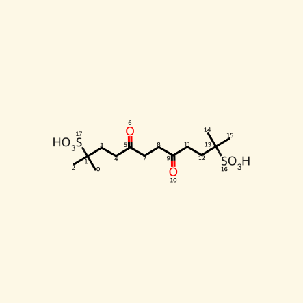 CC(C)(CCC(=O)CCC(=O)CCC(C)(C)S(=O)(=O)O)S(=O)(=O)O